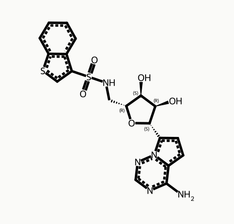 Nc1ncnn2c([C@@H]3O[C@H](CNS(=O)(=O)c4csc5ccccc45)[C@@H](O)[C@H]3O)ccc12